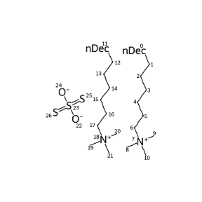 CCCCCCCCCCCCCCCC[N+](C)(C)C.CCCCCCCCCCCCCCCC[N+](C)(C)C.[O-]S([O-])(=S)=S